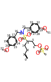 C=CCC[C@H](CCOS(C)(=O)=O)S(=O)(=O)N(Cc1ccc(OC)cc1)Cc1ccc(OC)cc1